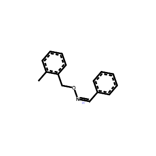 Cc1ccccc1CO/N=[C]\c1ccccc1